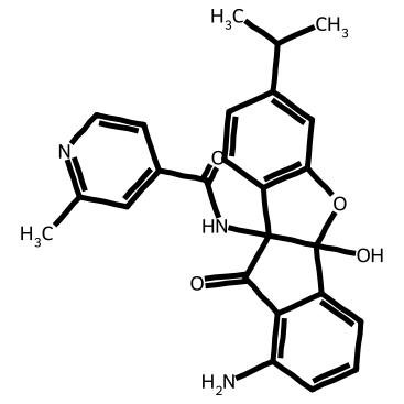 Cc1cc(C(=O)NC23C(=O)c4c(N)cccc4C2(O)Oc2cc(C(C)C)ccc23)ccn1